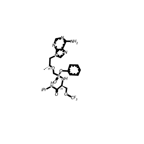 CC(C)NC(=O)[C@H](COC(F)(F)F)NP(=O)(CO[C@H](C)Cn1cnc2c(N)ncnc21)Oc1ccccc1